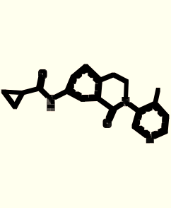 Cc1ccncc1N1CCc2ccc(NC(=O)C3CC3)cc2C1=O